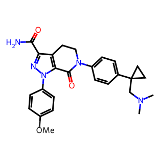 COc1ccc(-n2nc(C(N)=O)c3c2C(=O)N(c2ccc(C4(CN(C)C)CC4)cc2)CC3)cc1